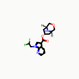 O=C(O[C@H]1C[C@H]2COC[C@@H](C1)N2)c1cn(CC(F)F)c2ncccc12